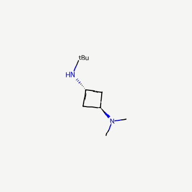 CN(C)[C@H]1C[C@H](NC(C)(C)C)C1